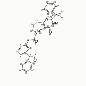 O=C(Cc1cccc(-c2coc3ccccc23)c1)N1CCCc2nc(C3(c4ccccc4)CC3)[nH]c(=O)c2C1